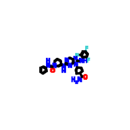 NC(=O)[C@H]1CC[C@H](n2c(Nc3c(F)cc(F)cc3F)nc3cnc(N[C@@H]4CCCN(C(=O)Nc5ccccc5)C4)nc32)CC1